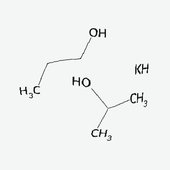 CC(C)O.CCCO.[KH]